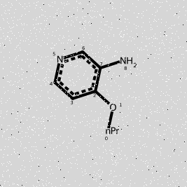 CCCOc1ccncc1N